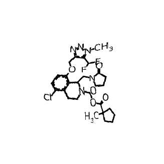 Cn1nnc(COc2ccc(Cl)c3c2C(CN2CCCC2=O)N(C(=O)OC(=O)C2(C)CCCC2)CC3)c1C(F)F